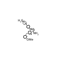 COc1cccc(Cc2cnc(C(N)=O)c(Nc3ccc(N4CCN(C)CC4)cc3)c2)c1